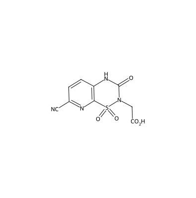 N#Cc1ccc2c(n1)S(=O)(=O)N(CC(=O)O)C(=O)N2